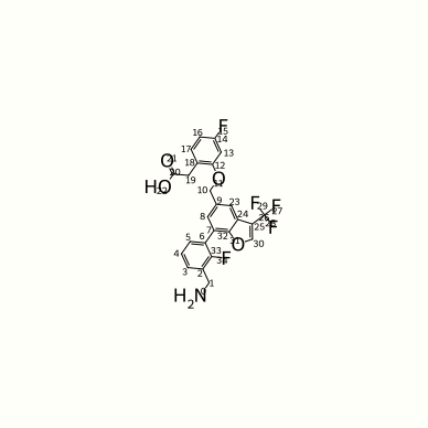 NCc1cccc(-c2cc(COc3cc(F)ccc3CC(=O)O)cc3c(C(F)(F)F)coc23)c1F